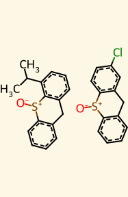 CC(C)c1cccc2c1[S+]([O-])c1ccccc1C2.[O-][S+]1c2ccccc2Cc2cc(Cl)ccc21